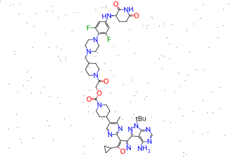 Cc1nc(-c2c(-c3nn(C(C)(C)C)c4ncnc(N)c34)noc2C2CC2)ncc1C1CCN(C(=O)OCC(=O)N2CCC(CN3CCN(c4c(F)cc(N[C@@H]5CCC(=O)NC5=O)cc4F)CC3)CC2)CC1